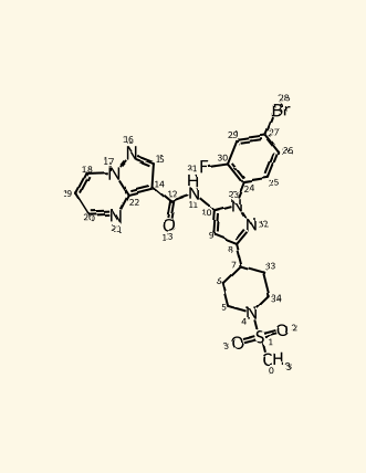 CS(=O)(=O)N1CCC(c2cc(NC(=O)c3cnn4cccnc34)n(-c3ccc(Br)cc3F)n2)CC1